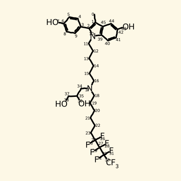 Cc1c(-c2ccc(O)cc2)n(CCCCCCN(CCCCCCC(F)(F)C(F)(F)C(F)(F)C(F)(F)F)CC(O)CO)c2ccc(O)cc12